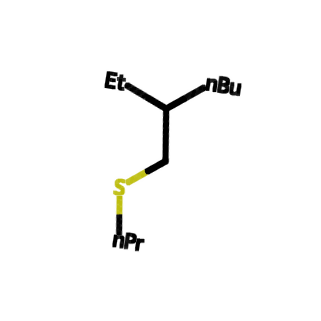 CCCCC(CC)CSCCC